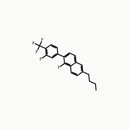 CCCCc1ccc2c(F)c(-c3ccc(C(F)(F)F)c(F)c3)ccc2c1